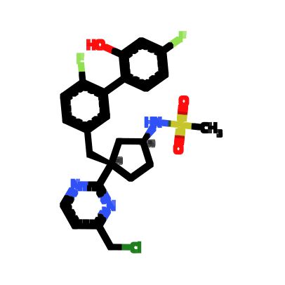 CS(=O)(=O)N[C@H]1CC[C@](Cc2ccc(F)c(-c3ccc(F)cc3O)c2)(c2nccc(CCl)n2)C1